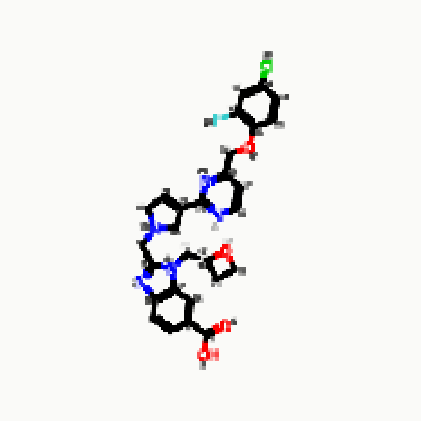 O=C(O)c1ccc2nc(CN3CC=C(c4nccc(COc5ccc(Cl)cc5F)n4)C3)n(C[C@@H]3CCO3)c2c1